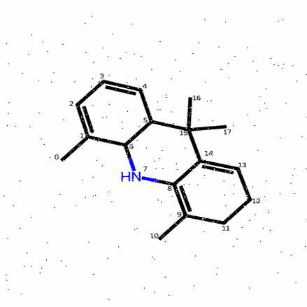 CC1=CC=CC2C1NC1=C(C)CCC=C1C2(C)C